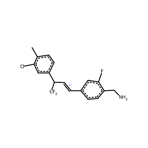 Cc1ccc(C(/C=C/c2ccc(CN)c(F)c2)C(F)(F)F)cc1Cl